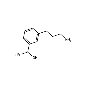 CCCC(O)c1cccc(CCCN)c1